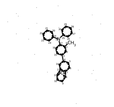 Cc1cc(-c2ccc3c4ccc(o4)c3c2)ccc1N(c1ccccc1)c1ccccc1